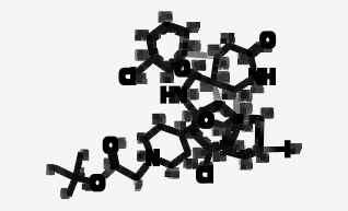 CC(C)(C)OC(=O)CN1CCC(Oc2ccc(I)cc2[C@H]2NC(=O)C[C@@H](c3cccc(Cl)c3)[C@]23C(=O)Nc2cc(Cl)ccc23)CC1